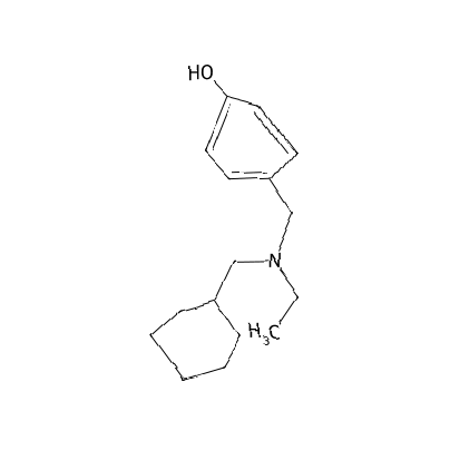 CCN(Cc1ccc(O)cc1)CC1CCCCC1